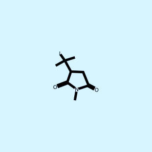 CN1C(=O)CC(C(C)(C)I)C1=O